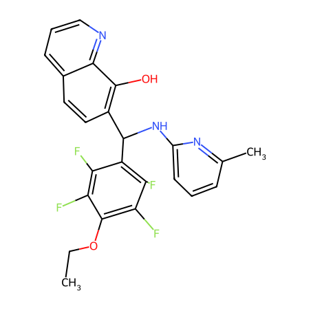 CCOc1c(F)c(F)c(C(Nc2cccc(C)n2)c2ccc3cccnc3c2O)c(F)c1F